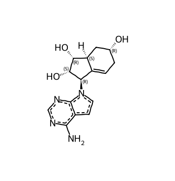 Nc1ncnc2c1ccn2[C@@H]1C2=CC[C@@H](O)C[C@@H]2[C@@H](O)[C@H]1O